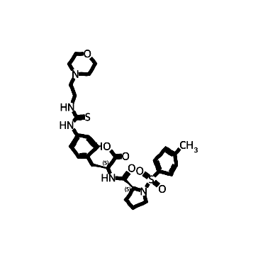 Cc1ccc(S(=O)(=O)N2CCC[C@H]2C(=O)N[C@@H](Cc2ccc(NC(=S)NCCN3CCOCC3)cc2)C(=O)O)cc1